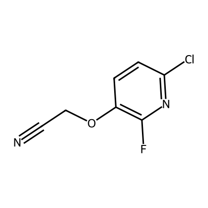 N#CCOc1ccc(Cl)nc1F